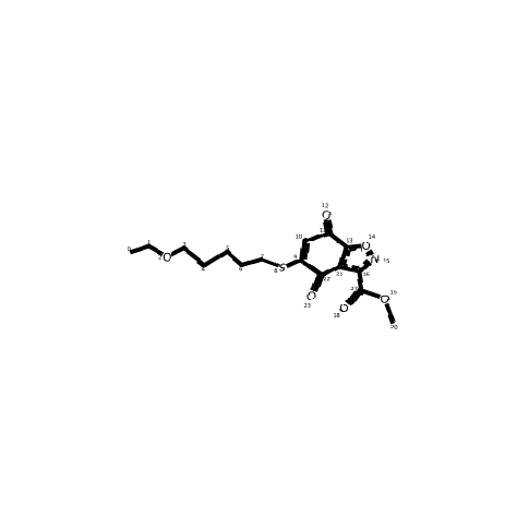 CCOCCCCCSC1=CC(=O)c2onc(C(=O)OC)c2C1=O